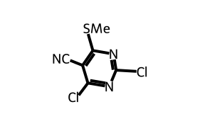 CSc1nc(Cl)nc(Cl)c1C#N